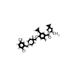 C[C@@H]1CC2(CC2)CN1C(=O)c1cc(C2CC2)c(OCC2(F)CCN(Cc3cc(C(F)(F)F)ccc3Cl)CC2)cc1F